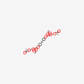 C=CC(=O)OC(COCCOCC1(CC)COC1)COc1ccc(C(C)(C)c2ccc(OCC(COCCOCC3(CC)COC3)OC(=O)C=C)cc2)cc1